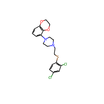 Clc1ccc(SCCN2CCN(c3cccc4c3OCCO4)CC2)c(Cl)c1